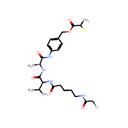 CC(S)C(=O)OCc1ccc(NC(=O)[C@H](C)NC(=O)C(NC(=O)CCCCNC(=O)CCl)C(C)C)cc1